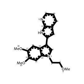 COCCn1cc(-c2cc3cccnc3[nH]2)c2cc(OC)c(OC)cc21